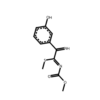 COC(=O)N=C(SC)C(=N)c1cccc(O)c1